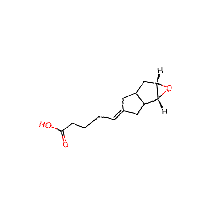 O=C(O)CCC/C=C1\CC2C[C@@H]3O[C@@H]3C2C1